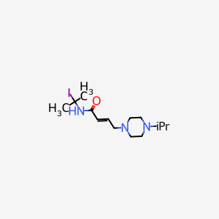 CC(C)N1CCN(C/C=C/C(=O)NC(C)(C)I)CC1